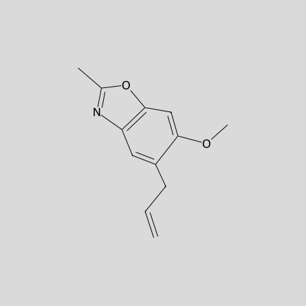 C=CCc1cc2nc(C)oc2cc1OC